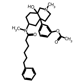 CC(=O)Oc1cccc(C23CCN(C)CC2(O)CCC(N(C)C(=O)CCCCCc2ccccc2)C3)c1